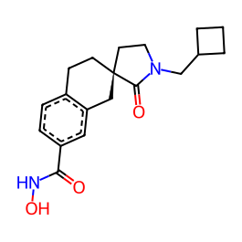 O=C(NO)c1ccc2c(c1)C[C@@]1(CC2)CCN(CC2CCC2)C1=O